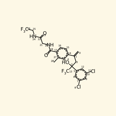 C=C(CC(O)(c1cc(Cl)cc(Cl)c1)C(F)(F)F)c1ccc(C(=O)NCC(=O)NCC(F)(F)F)c(C)c1